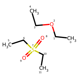 CCOCC.CCS(=O)(=O)CC